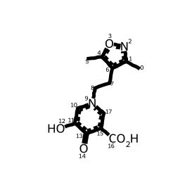 Cc1noc(C)c1CCn1cc(O)c(=O)c(C(=O)O)c1